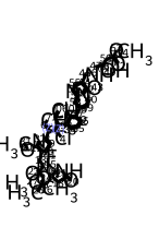 C=C/C(=C(Cl)\C(=C/C)c1cc(F)c(CN(C[C@@H]2CCC(=O)N2)C(=O)OC(C)(C)C)c(OC)n1)c1cccc(-c2ccn3c(=O)c(CNC[C@@H](O)CC(=O)OC)cnc3c2)c1Cl